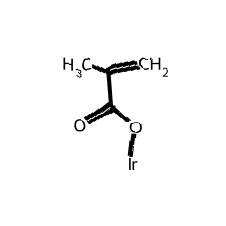 C=C(C)C(=O)[O][Ir]